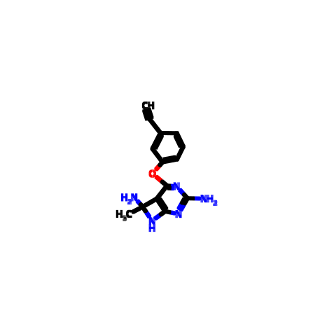 C#Cc1cccc(Oc2nc(N)nc3c2C(C)(N)N3)c1